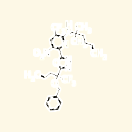 C=CCCC(C)(C)Nc1nc(-c2nnc([C@@](CC=C)(OCc3ccccc3)C(F)(F)F)o2)c([N+](=O)[O-])cc1C(F)(F)F